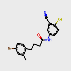 Cc1cc(Br)ccc1CCCC(=O)Nc1ccc(S)c(C#N)c1